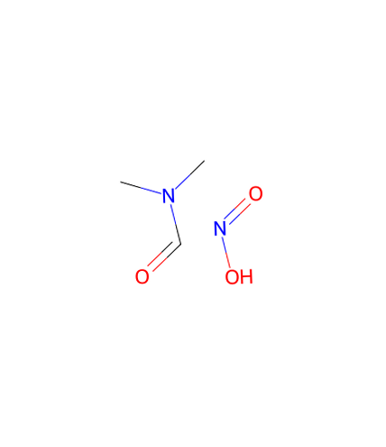 CN(C)C=O.O=NO